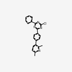 Cc1ccc(-c2ccc(-c3nc(Cl)nc(-c4ccccc4)n3)cc2)c(C)n1